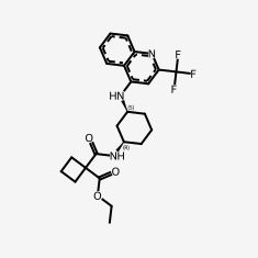 CCOC(=O)C1(C(=O)N[C@@H]2CCC[C@H](Nc3cc(C(F)(F)F)nc4ccccc34)C2)CCC1